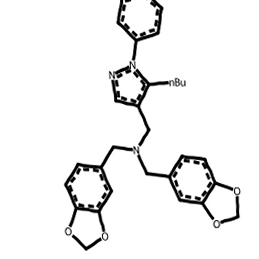 CCCCc1c(CN(Cc2ccc3c(c2)OCO3)Cc2ccc3c(c2)OCO3)cnn1-c1ccccc1